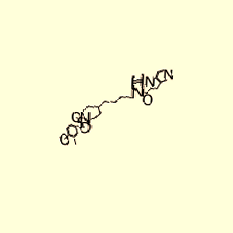 COc1ccc(S(=O)(=O)N2CCC(CCCCNC(=O)C3Cc4cnccc4N3)CC2)cc1C